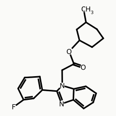 CC1CCCC(OC(=O)Cn2c(-c3cccc(F)c3)nc3ccccc32)C1